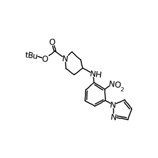 CC(C)(C)OC(=O)N1CCC(Nc2cccc(-n3cccn3)c2[N+](=O)[O-])CC1